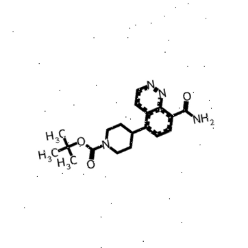 CC(C)(C)OC(=O)N1CCC(c2ccc(C(N)=O)c3nnccc23)CC1